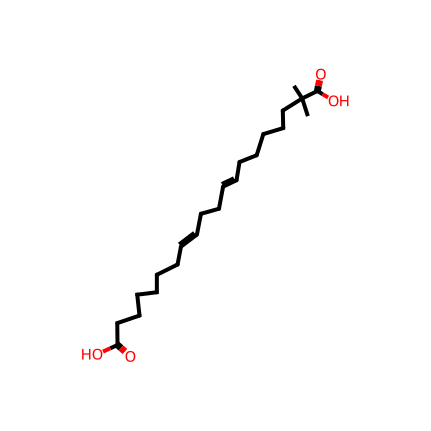 CC(C)(CCCCC/C=C/CC/C=C/CCCCCCC(=O)O)C(=O)O